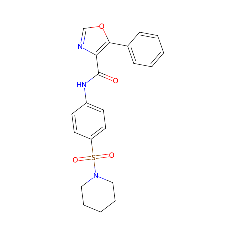 O=C(Nc1ccc(S(=O)(=O)N2CCCCC2)cc1)c1ncoc1-c1ccccc1